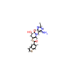 CC(=C(CCO)SC(=O)c1ccc2sccc2c1)N(C=O)Cc1cnc(C)nc1N